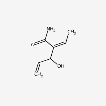 C=CC(O)C(=CC)C(N)=O